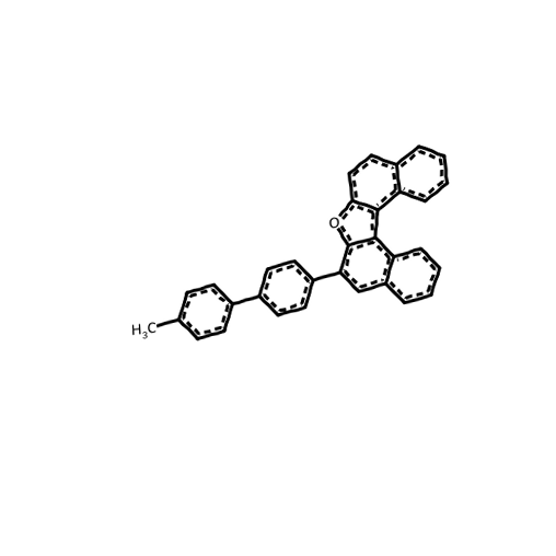 Cc1ccc(-c2ccc(-c3cc4ccccc4c4c3oc3ccc5ccccc5c34)cc2)cc1